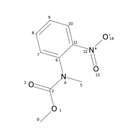 COC(=O)N(C)c1ccccc1[N+](=O)[O-]